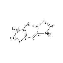 c1cc2cc3[nH]ccc3cc2[nH]1